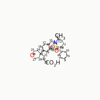 C[C@H]1CC[C@H](c2ccccc2)S(=O)(=O)N1Cc1ccc(C2(CCC(=O)O)CCOCC2)cc1F